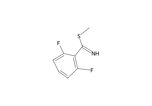 CSC(=N)c1c(F)cccc1F